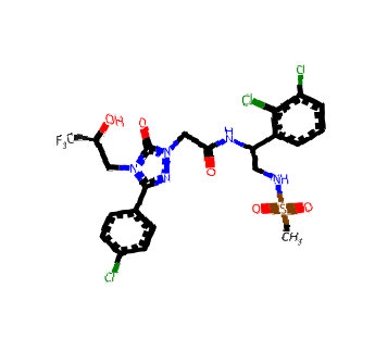 CS(=O)(=O)NCC(NC(=O)Cn1nc(-c2ccc(Cl)cc2)n(C[C@H](O)C(F)(F)F)c1=O)c1cccc(Cl)c1Cl